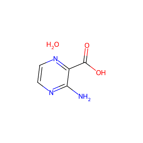 Nc1nccnc1C(=O)O.O